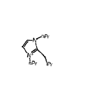 CCCn1cc[n+](CCC)c1CC(C)C